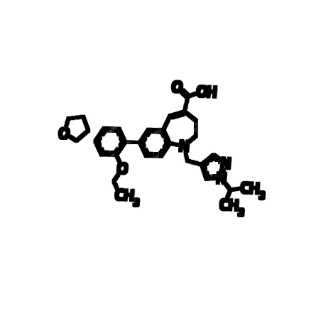 C1CCOC1.CCOc1ccccc1-c1ccc2c(c1)C=C(C(=O)O)CCN2Cc1cnn(C(C)C)c1